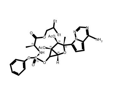 CCC(CC)COC(=O)[C@H](C)N[P@@](=O)(Oc1ccccc1)OC1[C@H]2O[C@@](C)(c3ccc4c(N)ncnn34)[C@H](OC(C)=O)[C@@]12OC(C)=O